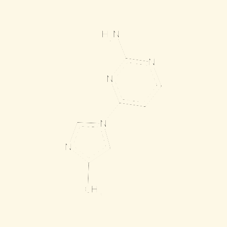 Cc1cn(-c2ccnc(N)n2)cn1